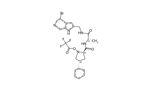 C[C@H](NC(=O)[C@H]1C[C@H](c2ccccc2)CN1OC(=O)C(F)(F)F)C(=O)NCc1cc2c(Br)cncc2[nH]1